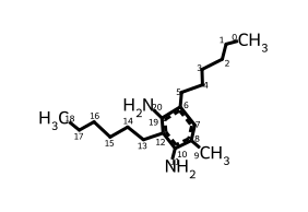 CCCCCCc1cc(C)c(N)c(CCCCCC)c1N